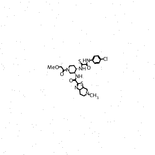 COCC(=O)N1CC[C@H](NC(=S)C(=O)Nc2ccc(Cl)cc2)[C@H](NC(=O)C2=NC3CCN(C)CC3S2)C1